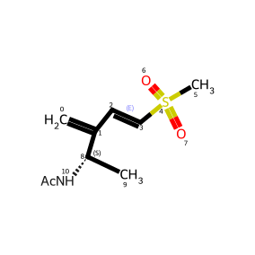 C=C(/C=C/S(C)(=O)=O)[C@H](C)NC(C)=O